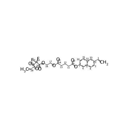 C=Cc1ccc2cc(OC(=O)CCCC(=O)OCCOC(=O)C(F)(F)S(=O)(=O)CC)ccc2c1